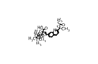 CC(=O)O[C@H](C)c1ccc2ccc(C=CC(C)(C(=O)O)C(C)(C)O[Si](C)(C)C(C)(C)C)cc2n1